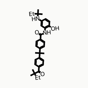 CCC(C)(C)Nc1ccc(O)c(NC(=O)c2ccc(C(C)(C)c3ccc(C(=O)C(C)(C)CC)cc3)cc2)c1